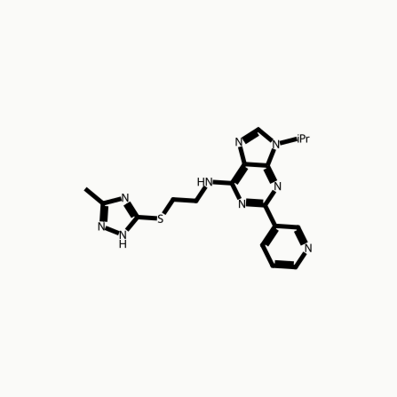 Cc1n[nH]c(SCCNc2nc(-c3cccnc3)nc3c2ncn3C(C)C)n1